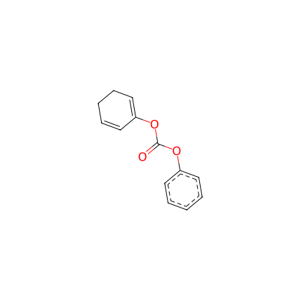 O=C(OC1=CCCC=C1)Oc1ccccc1